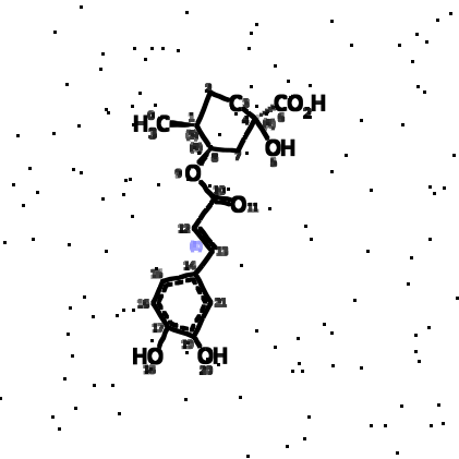 C[C@H]1CC[C@](O)(C(=O)O)C[C@H]1OC(=O)/C=C/c1ccc(O)c(O)c1